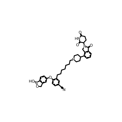 N#Cc1ccc(Oc2ccc3c(c2)COB3O)c(CCCCCCCN2CCC(c3cccc4c3CN(C3CCC(=O)NC3=O)C4=O)CC2)c1